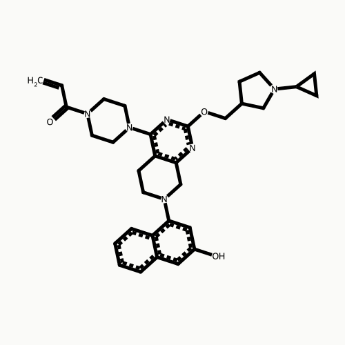 C=CC(=O)N1CCN(c2nc(OCC3CCN(C4CC4)C3)nc3c2CCN(c2cc(O)cc4ccccc24)C3)CC1